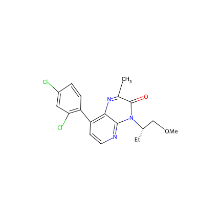 CC[C@@H](COC)n1c(=O)c(C)nc2c(-c3ccc(Cl)cc3Cl)ccnc21